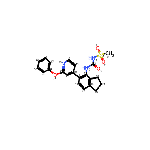 CS(=O)(=O)NC(=O)Nc1c(-c2ccnc(Oc3ccccc3)c2)ccc2c1CCC2